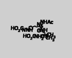 CC(=O)Nc1nc(CCc2ccc(NC=NC(=O)O)cc2)c(C(=O)NCCC(=O)N(C)C)s1.NC(=O)O